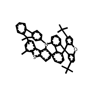 Cc1cccc2c1sc1cccc(N(c3ccc4c(c3)C(C)(C)c3ccccc3-4)c3cccc4c3-c3ccccc3C43c4cc(C(C)(C)C)ccc4Oc4ccc(C(C)(C)C)cc43)c12